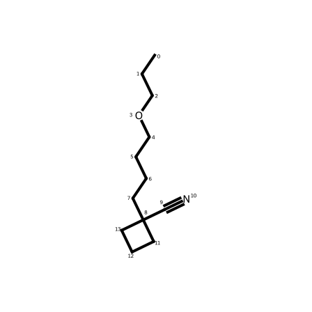 CCCOCCCCC1(C#N)CCC1